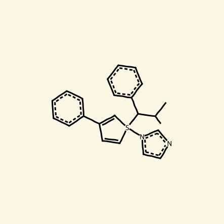 CC(C)C(c1ccccc1)S1(n2ccnc2)C=CC(c2ccccc2)=C1